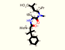 CN[C@H](C(=O)N[C@H](C(=O)N(C)[C@H](C=C(C)C(=O)O)C(C)C)C(C)(C)C)C(C)(C)c1ccccc1